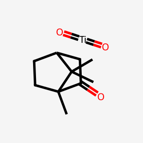 CC12CCC(CC1=O)C2(C)C.[O]=[Ti]=[O]